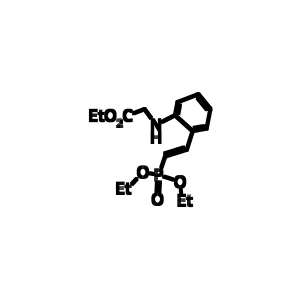 CCOC(=O)CNc1ccccc1/C=C/P(=O)(OCC)OCC